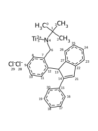 CC(C)(C)[N]([Ti+2])Cc1ccccc1C1C(c2ccccc2)=Cc2ccccc21.[Cl-].[Cl-]